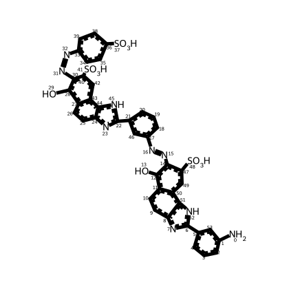 Nc1cccc(-c2nc3ccc4c(O)c(N=Nc5cccc(-c6nc7ccc8c(O)c(/N=N\c9ccc(S(=O)(=O)O)cc9)c(S(=O)(=O)O)cc8c7[nH]6)c5)c(S(=O)(=O)O)cc4c3[nH]2)c1